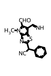 Cn1c(C=O)c(C=N)c2sc(C(C#N)c3ccccc3)nc21